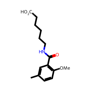 COc1ccc(C)cc1C(=O)NCCCCCC(=O)O